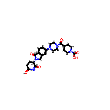 O=C1CC[C@H](N2Cc3cc(N4CCN(C(=O)C5CCN(C(=O)O)CC5)CC4)ccc3C2=O)C(=O)N1